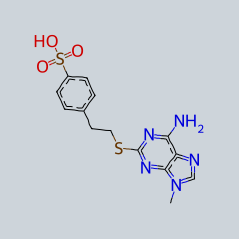 Cn1cnc2c(N)nc(SCCc3ccc(S(=O)(=O)O)cc3)nc21